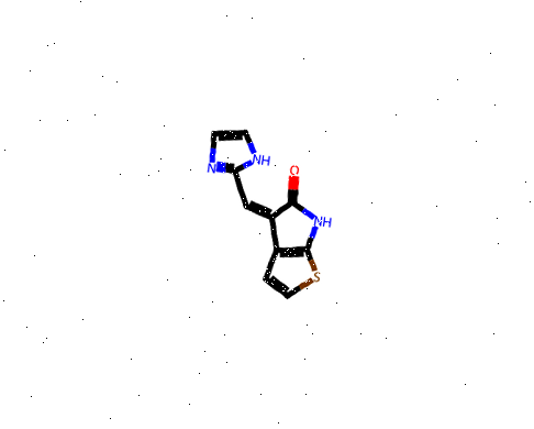 O=C1Nc2sccc2C1=Cc1ncc[nH]1